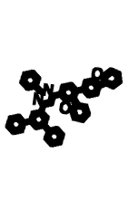 c1ccc(-c2cc(-c3ccccc3)cc(-c3cc(-c4ccc(-c5ccc6c(c5)oc5ccccc56)c5c4oc4ccccc45)nc(-c4ccccc4)n3)c2)cc1